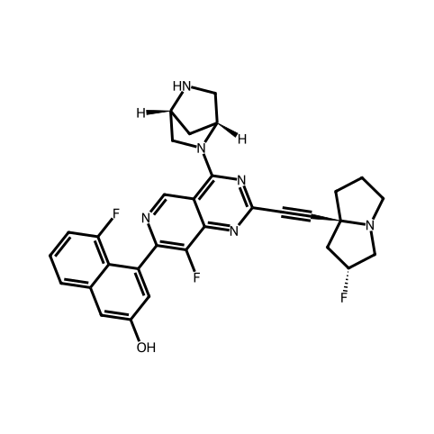 Oc1cc(-c2ncc3c(N4C[C@H]5C[C@@H]4CN5)nc(C#C[C@@]45CCCN4C[C@H](F)C5)nc3c2F)c2c(F)cccc2c1